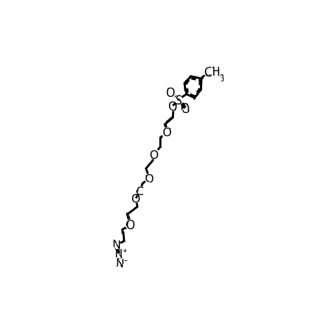 Cc1ccc(S(=O)(=O)OCCOCCOCCOCCOCCOCCN=[N+]=[N-])cc1